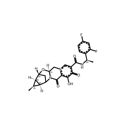 C[C@@H]1[C@@H]2C3C[C@@H](O[C@H]4Cn5cc(C(=O)N[C@H](C)c6ccc(F)cc6F)c(=O)c(O)c5C(=O)N34)[C@H]12